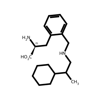 CC(CNCc1ccccc1C[C@H](N)C(=O)O)C1CCCCC1